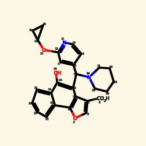 O=C(O)c1coc2c1c(C(c1ccnc(OC3CC3)c1)N1CCCCC1)c(O)c1ccccc12